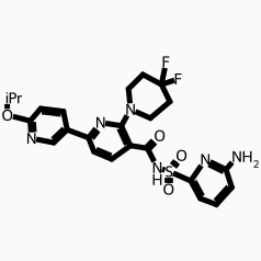 CC(C)Oc1ccc(-c2ccc(C(=O)NS(=O)(=O)c3cccc(N)n3)c(N3CCC(F)(F)CC3)n2)cn1